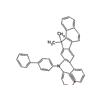 CC1(C)c2cc(N(c3ccccc3)c3ccc(-c4ccccc4)cc3)c(-c3ccccc3)cc2-c2ccc3ccccc3c21